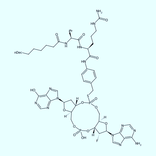 CCCCCCCCCCCCCCCC(=O)N[C@H](C(=O)N[C@@H](CCCNC(N)=O)C(=O)Nc1ccc(CSP2(=O)OC[C@H]3O[C@@H](n4cnc5c(N)ncnc54)[C@H](F)[C@@H]3OP(=O)(O)OC[C@H]3O[C@@H](n4cnc5c(O)ncnc54)C[C@@H]3O2)cc1)C(C)C